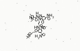 CCn1nc(C)cc1C(=O)Nc1nc2cc(C(N)=O)cc(OC)c2n1CC=CCNc1c(OCCCO[Si](C)(C)C(C)(C)C)cc(C(N)=O)cc1[N+](=O)[O-]